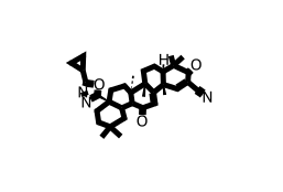 CC1(C)CC[C@]2(c3nnc(C4CC4)o3)CC[C@]3(C)C(C(=O)C=C4[C@@]5(C)C=C(C#N)C(=O)C(C)(C)[C@@H]5CC[C@]43C)C2C1